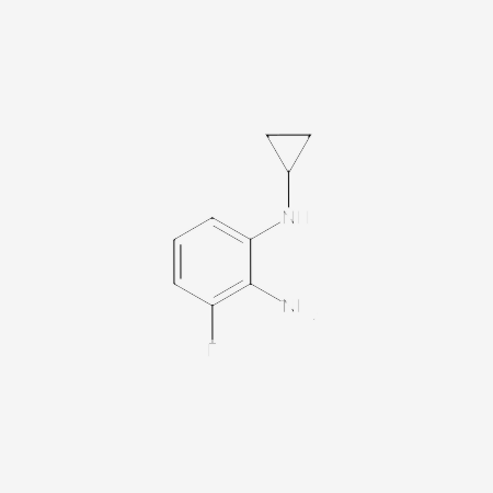 Nc1c(F)cccc1NC1CC1